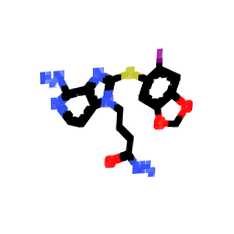 NC(=O)CCCn1c(Sc2cc3c(cc2I)OCO3)nc2c(N)nccc21